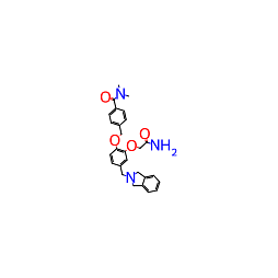 CN(C)C(=O)c1ccc(COc2ccc(CN3Cc4ccccc4C3)cc2OCC(N)=O)cc1